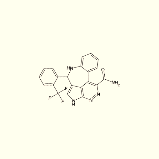 NC(=O)c1nnc2[nH]cc3c2c1-c1ccccc1NC3c1ccccc1C(F)(F)F